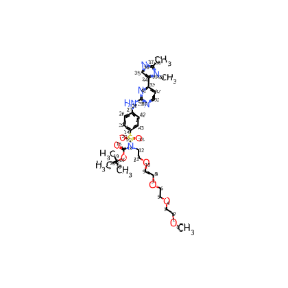 COCCOCCOCCOCCN(C(=O)OC(C)(C)C)S(=O)(=O)c1ccc(Nc2nccc(-c3cnc(C)n3C)n2)cc1